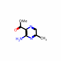 COC(=O)c1ncc(C)nc1N